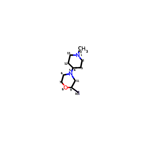 CN1CCC(N2CCOC(I)C2)CC1